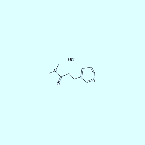 CN(C)C(=O)CCc1cccnc1.Cl